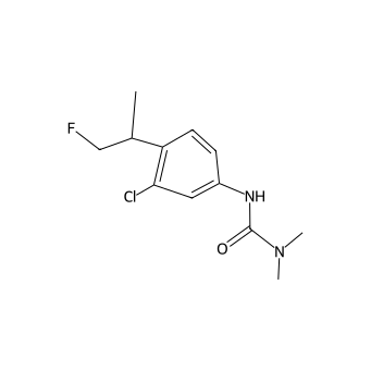 CC(CF)c1ccc(NC(=O)N(C)C)cc1Cl